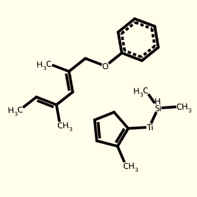 CC1=[C]([Ti][SiH](C)C)CC=C1.CC=C(C)C=C(C)COc1ccccc1